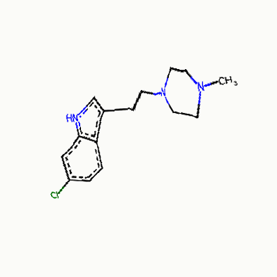 CN1CCN(CCc2c[nH]c3cc(Cl)ccc23)CC1